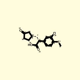 CSc1ccc([C@@H](C[C@@H]2CCC(=O)C2)C(=O)O)cc1Cl